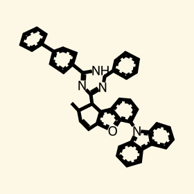 CC1C=Cc2oc3c(-n4c5ccccc5c5ccccc54)cccc3c2C1C1=NC(c2ccccc2)NC(c2ccc(-c3ccccc3)cc2)=N1